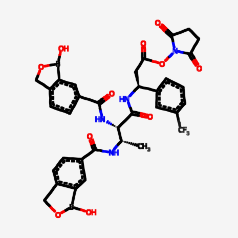 C[C@H](NC(=O)c1ccc2c(c1)B(O)OC2)[C@H](NC(=O)c1ccc2c(c1)B(O)OC2)C(=O)N[C@@H](CC(=O)ON1C(=O)CCC1=O)c1cccc(C(F)(F)F)c1